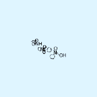 C=CS(=O)(=O)NC[C@H]1CCN(S(=O)(=O)c2ccc(C(=O)N(CCO)C3CCCCC3)cc2)C1